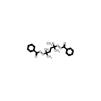 CC(C)(CCC(C)(OOC(=O)c1ccccc1)C(=O)O)OOC(=O)c1ccccc1